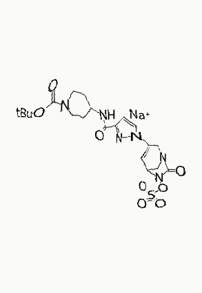 CC(C)(C)OC(=O)N1CCC(NC(=O)c2ccn(C3=CC4CN(C3)C(=O)N4OS(=O)(=O)[O-])n2)CC1.[Na+]